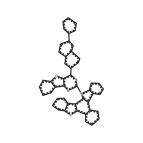 c1ccc(-c2ccc3cc(-c4nc(-n5c6ccccc6c6c7ccccc7c7sc8ccccc8c7c65)nc5c4oc4ccccc45)ccc3c2)cc1